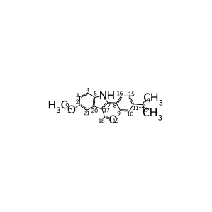 COc1ccc2[nH]c(-c3ccc(C(C)C)cc3)c(C=O)c2c1